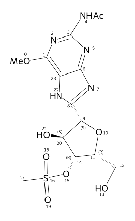 COc1nc(NC(C)=O)nc2nc([C@@H]3O[C@H](CO)[C@H](OS(C)(=O)=O)[C@H]3O)[nH]c12